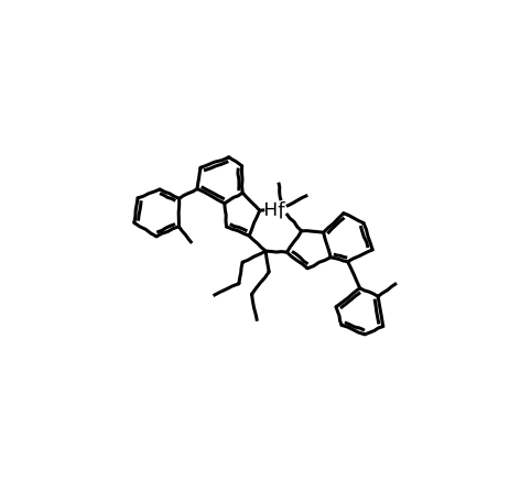 CCCC1(CCC)C2=Cc3c(-c4ccccc4C)cccc3[CH]2[Hf]([CH3])([CH3])[CH]2C1=Cc1c(-c3ccccc3C)cccc12